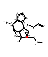 C=CCO[C@]12CCC3(C)O[C@@H](C[C@]31CCCOC)c1occc12